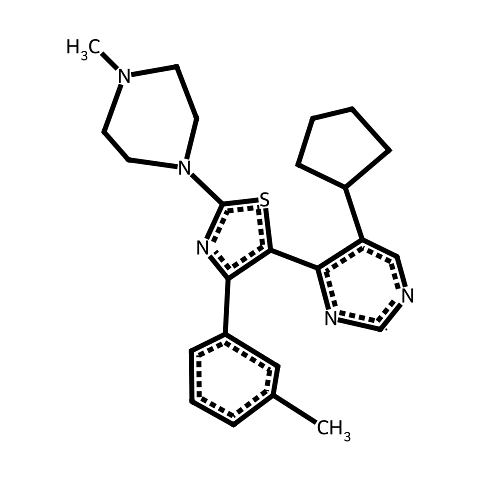 Cc1cccc(-c2nc(N3CCN(C)CC3)sc2-c2n[c]ncc2C2CCCC2)c1